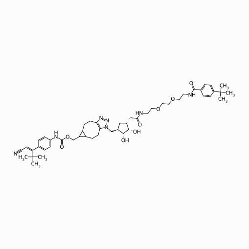 CC(C)(C)/C(=C\C#N)c1ccc(NC(=O)OCC2C3CCc4nnn(C[C@H]5C[C@H](CC(=O)NCCOCCOCCNC(=O)c6ccc(C(C)(C)C)cc6)[C@H](O)[C@@H]5O)c4CCC32)cc1